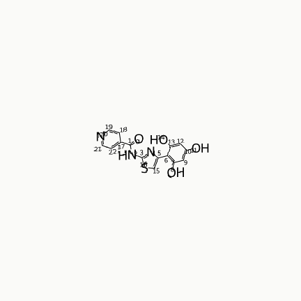 O=C(Nc1nc(-c2c(O)cc(O)cc2O)cs1)c1ccncc1